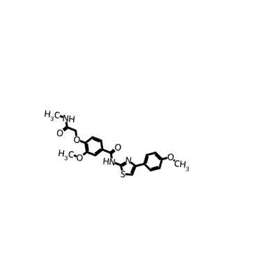 CNC(=O)COc1ccc(C(=O)Nc2nc(-c3ccc(OC)cc3)cs2)cc1OC